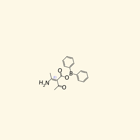 CC(=O)/C(C(=O)OB(c1ccccc1)c1ccccc1)=C(/C)N